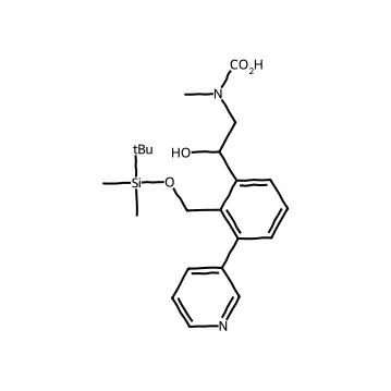 CN(CC(O)c1cccc(-c2cccnc2)c1CO[Si](C)(C)C(C)(C)C)C(=O)O